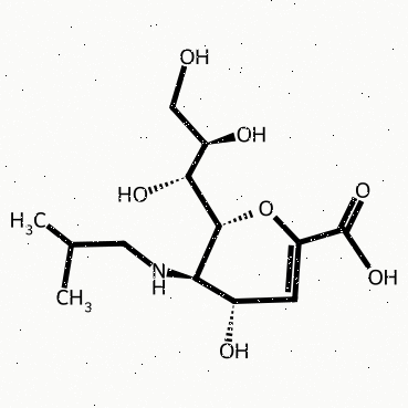 CC(C)CN[C@H]1[C@H]([C@H](O)[C@H](O)CO)OC(C(=O)O)=C[C@@H]1O